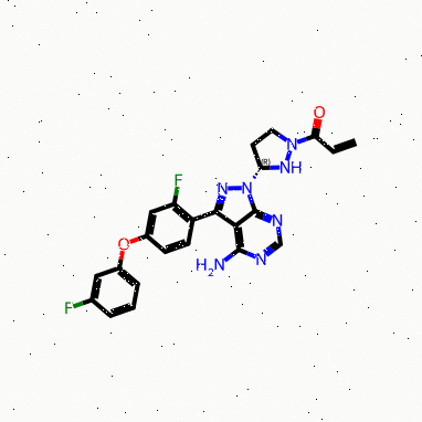 C=CC(=O)N1CC[C@@H](n2nc(-c3ccc(Oc4cccc(F)c4)cc3F)c3c(N)ncnc32)N1